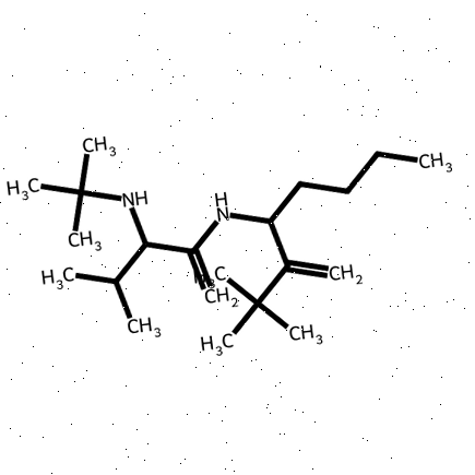 C=C(NC(CCCC)C(=C)C(C)(C)C)C(NC(C)(C)C)C(C)C